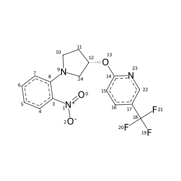 O=[N+]([O-])c1ccccc1N1CC[C@H](Oc2ccc(C(F)(F)F)cn2)C1